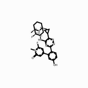 Cn1c(F)cc(-c2cc(O)ccc2-c2nnc(C3CC3)c(N[C@@H]3C[C@@]4(C)CCC[C@](C)(N4)[C@@H]3F)n2)cc1=O